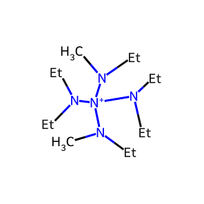 CCN(C)[N+](N(C)CC)(N(CC)CC)N(CC)CC